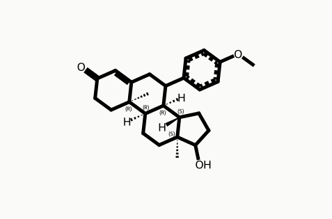 COc1ccc(C2CC3=CC(=O)CC[C@]3(C)[C@@H]3CC[C@]4(C)C(O)CC[C@H]4[C@H]23)cc1